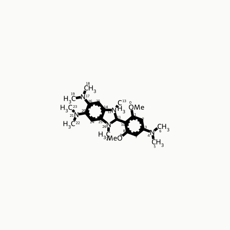 COc1cc(N(C)C)cc(OC)c1C1N(C)c2cc(N(C)C)c(N(C)C)cc2N1C